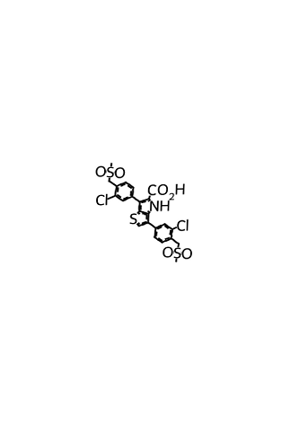 CS(=O)(=O)Cc1ccc(-c2csc3c(-c4ccc(CS(C)(=O)=O)c(Cl)c4)c(C(=O)O)[nH]c23)cc1Cl